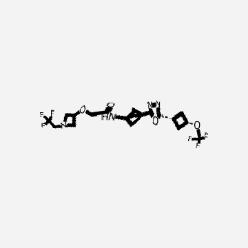 O=C(COC1CN(CC(F)(F)F)C1)NC12CC(c3nnc([C@H]4C[C@@H](OC(F)(F)F)C4)o3)(C1)C2